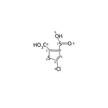 O=C(O)c1sc(Cl)cc1S(=O)O